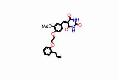 C=CCc1ccccc1OCCOc1ccc(C=C2C(=O)NC(=O)NC2=O)cc1OC